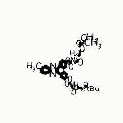 C=C(C)C(=O)OCCOC(=O)CNC(=O)Oc1ccc(-c2nc3cc(C)ccc3nc2-c2ccc(OC(=O)NCC(=O)OCCOC(=O)C(C)(C)C)cc2)cc1